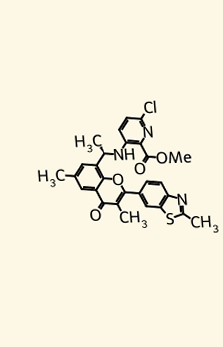 COC(=O)c1nc(Cl)ccc1N[C@H](C)c1cc(C)cc2c(=O)c(C)c(-c3ccc4nc(C)sc4c3)oc12